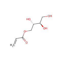 C=CC(=O)OC[C@H](O)[C@H](O)CO